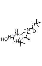 C=C(OC(C)(C)C)C(C)(CCN/C(N)=N/O)NC(=O)OC(C)(C)C